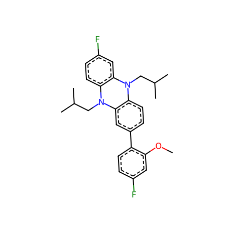 COc1cc(F)ccc1-c1ccc2c(c1)N(CC(C)C)c1ccc(F)cc1N2CC(C)C